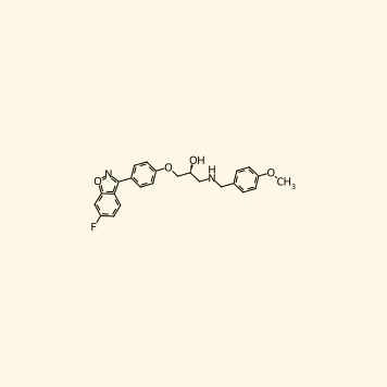 COc1ccc(CNC[C@H](O)COc2ccc(-c3noc4cc(F)ccc34)cc2)cc1